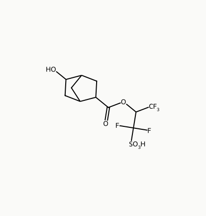 O=C(OC(C(F)(F)F)C(F)(F)S(=O)(=O)O)C1CC2CC1CC2O